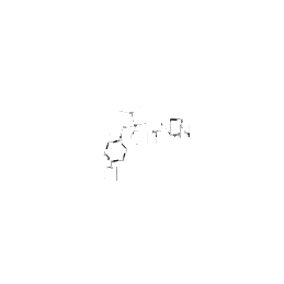 CC(C)[C@@](O)(CCn1ccnc1)Cc1ccc(Cl)cc1